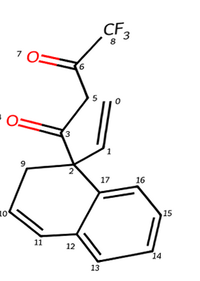 C=CC1(C(=O)CC(=O)C(F)(F)F)CC=Cc2ccccc21